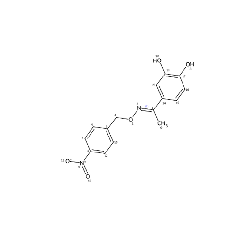 C/C(=N\OCc1ccc([N+](=O)[O-])cc1)c1ccc(O)c(O)c1